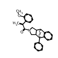 C=C(C(=O)N1CC2C3CCC(c4ccccc4)(c4ccccc43)C2C1)c1ccccc1OC